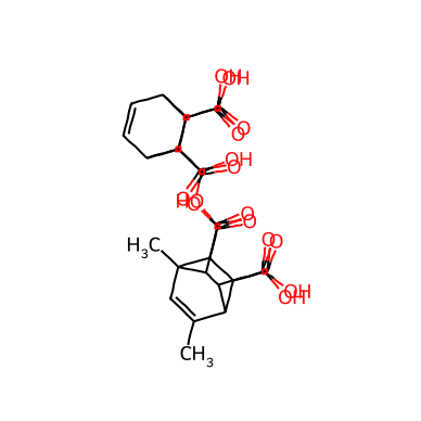 CC1=CC2(C)C(C(=O)O)C(C(=O)O)C1C(C(=O)O)C2C(=O)OC(=O)C1C2C=CC(C(C(=O)O)C2C(=O)O)C1C(=O)O